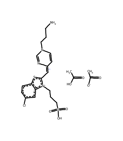 CC(=O)O.CC(=O)[O-].NCCCN1C=C/C(=C/c2sc3ccc(Cl)cc3[n+]2CCCS(=O)(=O)O)N=C1